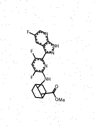 COC(=O)C1C2CCC(CC2)C1Nc1nc(-c2n[nH]c3ncc(F)cc23)c(F)cc1F